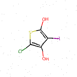 Oc1sc(Cl)c(O)c1I